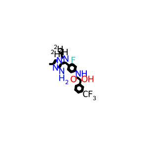 [2H]C([2H])([2H])c1nc(-c2ccc(NC(=O)C(O)c3cccc(C(F)(F)F)c3)cc2F)c2c(N)nc(C)cn12